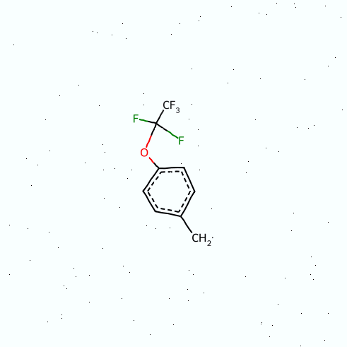 [CH2]c1ccc(OC(F)(F)C(F)(F)F)cc1